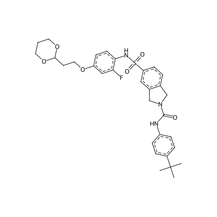 CC(C)(C)c1ccc(NC(=O)N2Cc3ccc(S(=O)(=O)Nc4ccc(OCCC5OCCCO5)cc4F)cc3C2)cc1